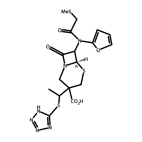 CSCC(=O)N(c1ccco1)C1C(=O)N2CC(C(=O)O)(C(C)Sc3nnn[nH]3)CS[C@H]12